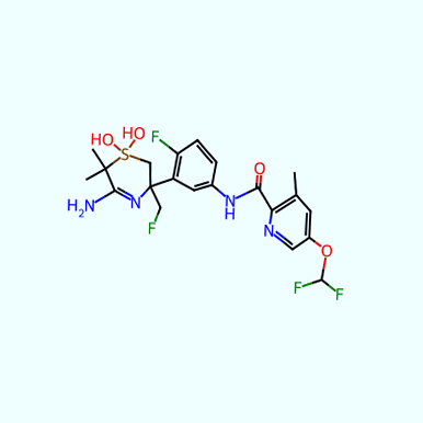 Cc1cc(OC(F)F)cnc1C(=O)Nc1ccc(F)c(C2(CF)CS(O)(O)C(C)(C)C(N)=N2)c1